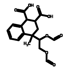 CC1(C(COC=O)OC=O)CC(C(=O)O)C(C(=O)O)c2ccccc21